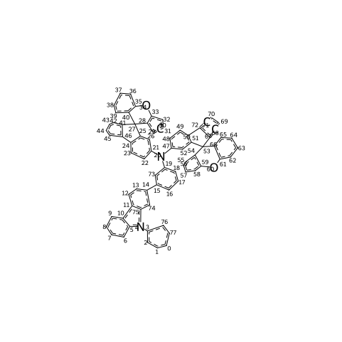 c1ccc(-n2c3ccccc3c3ccc(-c4cccc(N(c5ccc6c(c5)C5(c7ccccc7Oc7ccccc75)c5ccccc5-6)c5ccc6c(c5)C5(c7ccccc7Oc7ccccc75)c5ccccc5-6)c4)cc32)cc1